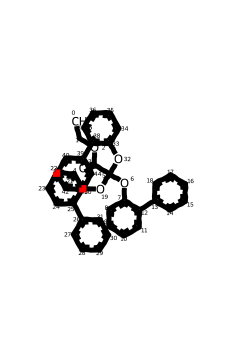 CCOC(=O)C(Oc1ccccc1-c1ccccc1)(Oc1ccccc1-c1ccccc1)Oc1ccccc1-c1ccccc1